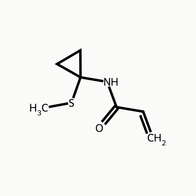 C=CC(=O)NC1(SC)CC1